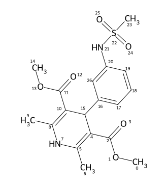 COC(=O)C1=C(C)NC(C)=C(C(=O)OC)C1c1cccc(NS(C)(=O)=O)c1